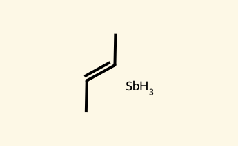 CC=CC.[SbH3]